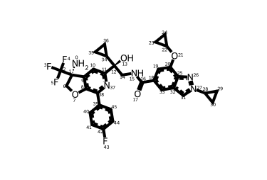 N[C@@]1(C(F)(F)F)COc2c1cc([C@@](O)(CNC(=O)c1cc(OC3CC3)c3nn(C4CC4)cc3c1)C1CC1)nc2-c1ccc(F)cc1